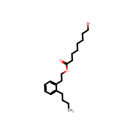 CCCCc1ccccc1CCOC(=O)CCCCCCCBr